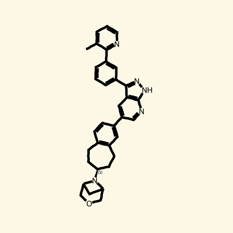 Cc1cccnc1-c1cccc(-c2n[nH]c3ncc(-c4ccc5c(c4)CC[C@@H](N4C6COCC4C6)CC5)cc23)c1